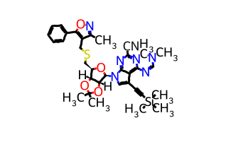 Cc1noc(-c2ccccc2)c1CSC[C@H]1O[C@@H](n2cc(C#C[Si](C)(C)C)c3c(/N=C\N(C)C)nc(C#N)nc32)[C@@H]2OC(C)(C)O[C@@H]21